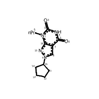 CCCn1c(=O)[nH]c(=O)c2cn(C3CCCC3)nc21